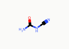 N#CNC(N)=O